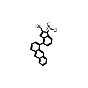 CCC(C)C1=Cc2c(-c3cccc4cc5ccccc5cc34)cccc2[CH]1[Zr]([Cl])[Cl]